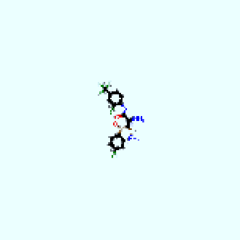 NS/C(=C(\N)C(=O)Nc1ccc(C(F)(F)F)cc1Cl)[S+]([O-])c1ccc(Cl)cc1